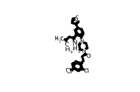 CC(C)CC(N)c1cc(-c2ccsc2)ccc1N1CCN(C(=O)CCc2ccc(Cl)cc2Cl)CC1